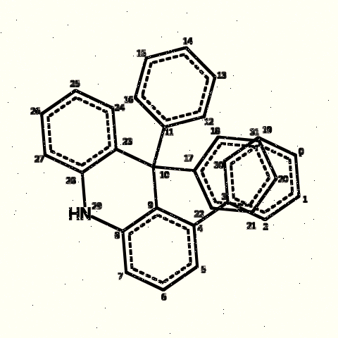 [c]1ccc(-c2cccc3c2C(c2ccccc2)(c2ccccc2)c2ccccc2N3)cc1